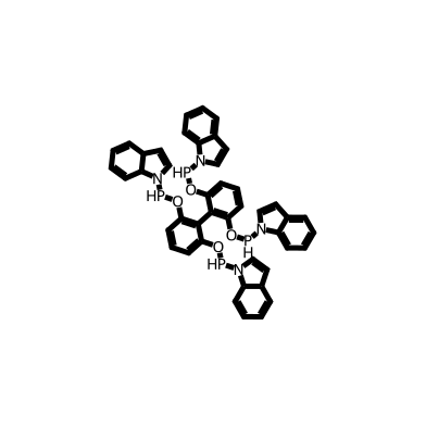 C1=CC2C=CN(POc3cccc(OPN4C=CC5C=CC=CC54)c3-c3c(OPn4ccc5ccccc54)cccc3OPn3ccc4ccccc43)C2C=C1